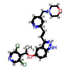 CC(Oc1ccc2[nH]nc(/C=C/c3cc(CN4CCOCC4)ccn3)c2c1)c1c(Cl)cncc1Cl